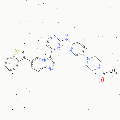 CC(=O)N1CCN(c2ccc(Nc3nccc(-c4cnc5ccc(-c6csc7ccccc67)cn45)n3)nc2)CC1